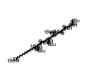 CC(C)(C)OC(=O)CCCCCCCCCCCCCC(=O)NC(CCC(=O)NCCCN(CCCCN(CCCNC(=O)CCC(=O)NCCONC(=O)OC(C)(C)C)C(=O)OC(C)(C)C)C(=O)OC(C)(C)C)C(=O)OC(C)(C)C